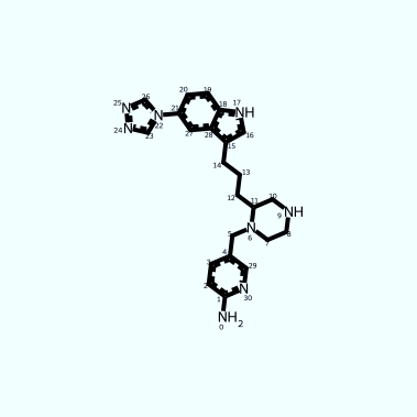 Nc1ccc(CN2CCNCC2CCCc2c[nH]c3ccc(-n4cnnc4)cc23)cn1